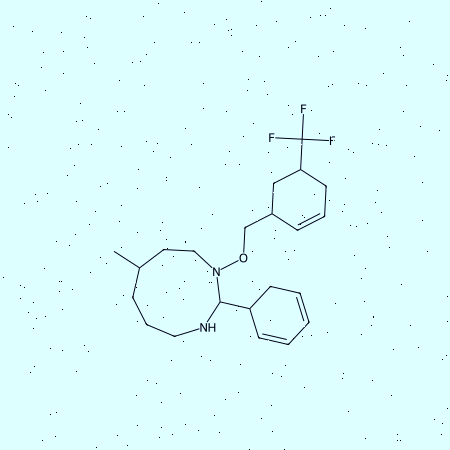 CC1CCCNC(C2C=CC=CC2)N(OCC2C=CCC(C(F)(F)F)C2)CC1